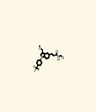 COCc1cn(-c2ccc(C(F)(F)F)cc2)c2ccc(C=CC(=O)NC=O)cc12